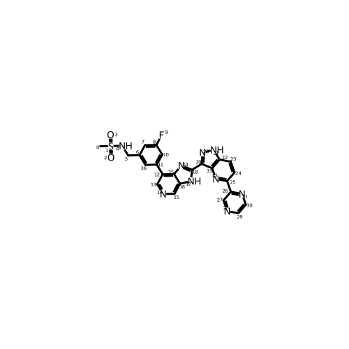 CS(=O)(=O)NCc1cc(F)cc(-c2cncc3[nH]c(-c4n[nH]c5ccc(-c6cnccn6)nc45)nc23)c1